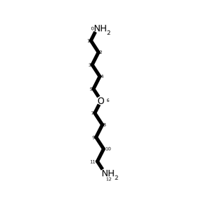 NCCCCCOCCCCCN